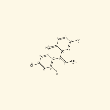 C=C1C=CC(Br)=CN1/C(=C\C)c1ccc(Cl)cc1F